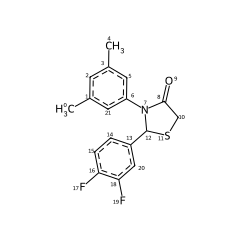 Cc1cc(C)cc(N2C(=O)CSC2c2ccc(F)c(F)c2)c1